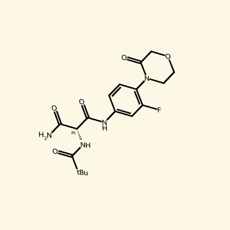 CC(C)(C)C(=O)N[C@H](C(N)=O)C(=O)Nc1ccc(N2CCOCC2=O)c(F)c1